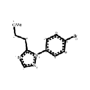 COCCc1ncnn1-c1ccc(Br)cc1